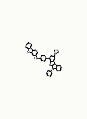 c1ccc(-n2c3ccccc3c3c4cc(N5CCC5)cc(-c5ccc(Nc6ccc7c(c6)oc6ccccc67)cc5)c4sc32)cc1